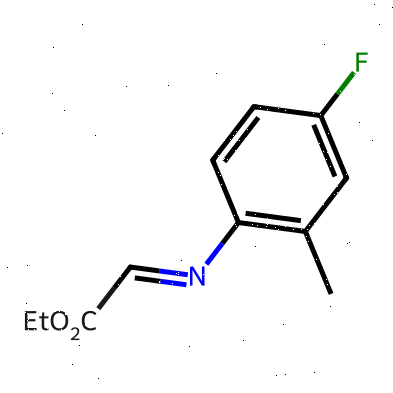 CCOC(=O)/C=N/c1ccc(F)cc1C